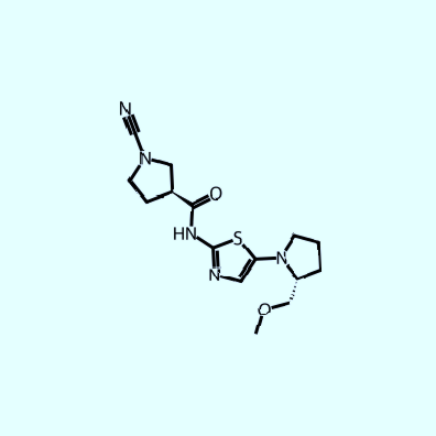 COC[C@H]1CCCN1c1cnc(NC(=O)[C@H]2CCN(C#N)C2)s1